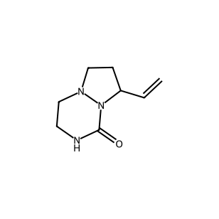 C=CC1CCN2CCNC(=O)N12